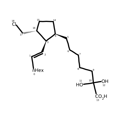 CCCCCCC=C[C@@H]1[C@H](CCCCCC(O)(O)C(=O)O)CC[C@H]1CCl